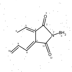 BN1C(=O)C(=C/C)/C(=C\C=C)C1=O